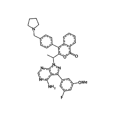 COc1cc(F)cc(-c2nn(C(C)c3oc(=O)c4ccccc4c3-c3ccc(CN4CCCC4)cc3)c3ncnc(N)c23)c1